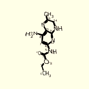 CCOC(=O)Nc1cc(N)c2c(n1)NCC(C)=N2